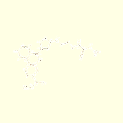 COC(=O)c1ccc2c(c1)nc(N1CC[C@H](OCCCNC(=O)OC(C)(C)C)C1)c1ccncc12